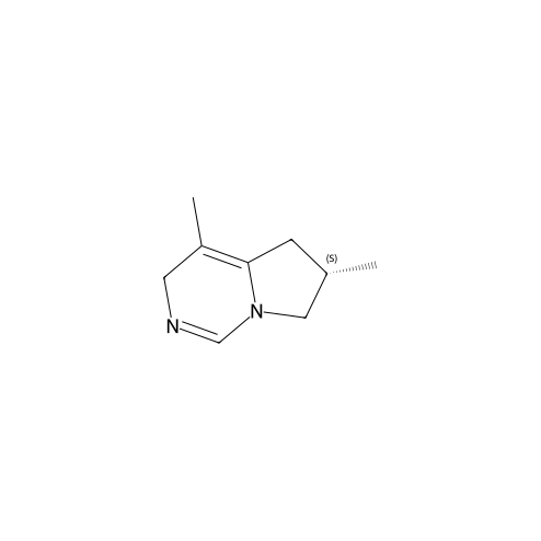 CC1=C2C[C@H](C)CN2C=NC1